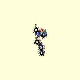 O=c1c2cc(F)ccc2nc(C=Cc2cccc(CN3CCC(N4CCCC4)CC3)c2)n1-c1cccnc1Cl